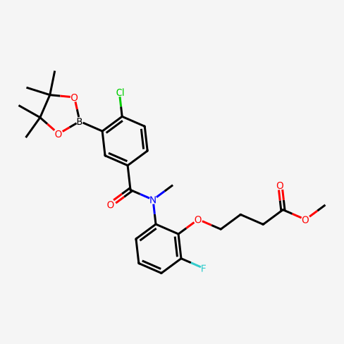 COC(=O)CCCOc1c(F)cccc1N(C)C(=O)c1ccc(Cl)c(B2OC(C)(C)C(C)(C)O2)c1